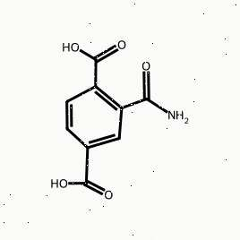 NC(=O)c1cc(C(=O)O)ccc1C(=O)O